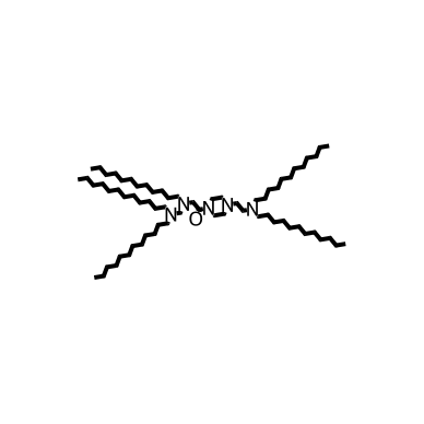 CCCCCCCCCCCCN(CCCCCCCCCCCC)CCN1CCN(C(=O)CN(CCCCCCCCCCCC)CN(CCCCCCCCCCCC)CCCCCCCCCCCC)CC1